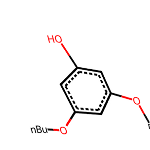 CCCCOc1cc(O)cc(OCCCC)c1